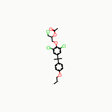 [CH2][CH]COc1ccc(C(C)(C)c2cc(Cl)c(OCC(CCl)OC(C)=O)c(Cl)c2)cc1